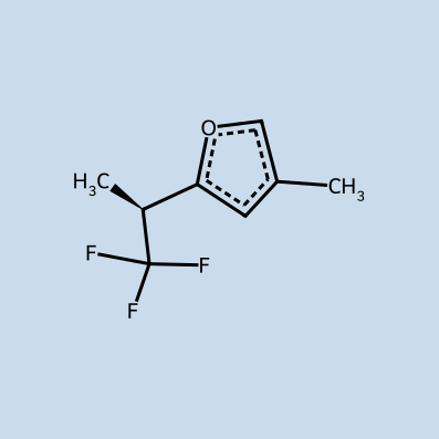 Cc1coc([C@H](C)C(F)(F)F)c1